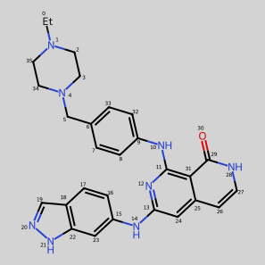 CCN1CCN(Cc2ccc(Nc3nc(Nc4ccc5cn[nH]c5c4)cc4cc[nH]c(=O)c34)cc2)CC1